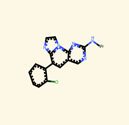 CC(C)Nc1ncc2cc(-c3ccccc3Cl)c3nccn3c2n1